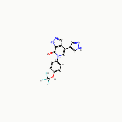 O=c1c2[nH]ncc2c(-c2cn[nH]c2)cn1-c1ccc(OC(F)(F)F)cc1